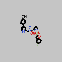 N#Cc1ccc(-c2ccnc(CNC(=O)[C@@H]3CCCN3S(=O)(=O)c3cc4cc(F)ccc4o3)c2)cc1